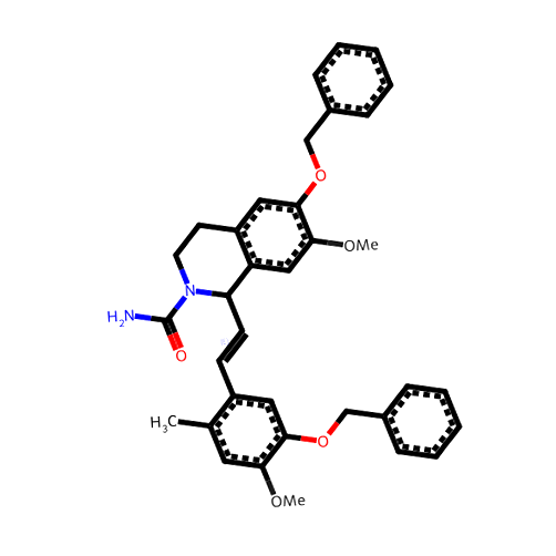 COc1cc(C)c(/C=C/C2c3cc(OC)c(OCc4ccccc4)cc3CCN2C(N)=O)cc1OCc1ccccc1